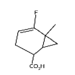 CC12CC1C(C(=O)O)CC=C2F